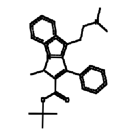 CC1C(C(=O)OC(C)(C)C)=C(c2ccccc2)c2c(CCN(C)C)c3ccccc3n21